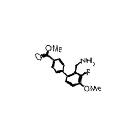 COC(=O)c1ccc(-c2ccc(OC)c(F)c2CN)cc1